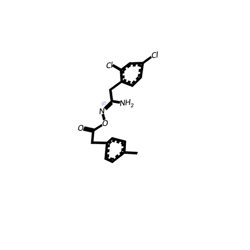 Cc1ccc(CC(=O)O/N=C(\N)Cc2ccc(Cl)cc2Cl)cc1